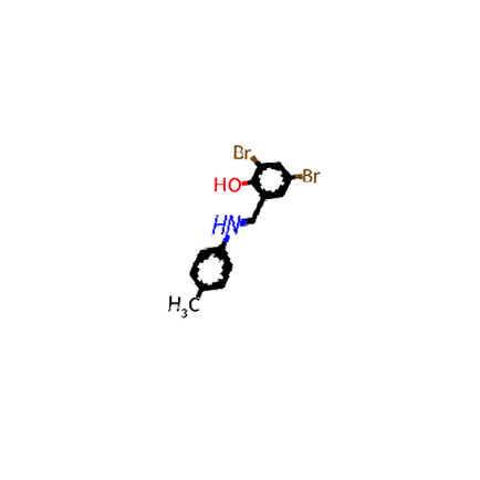 Cc1ccc(NCc2cc(Br)cc(Br)c2O)cc1